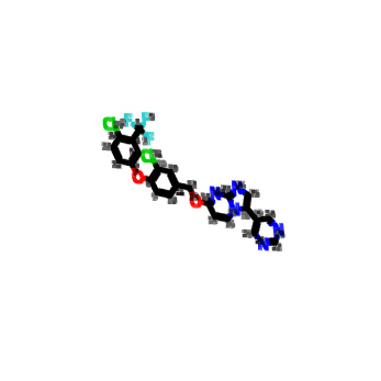 FC(F)(F)c1cc(Oc2ccc(COc3ccn4c(-c5cncnc5)cnc4n3)cc2Cl)ccc1Cl